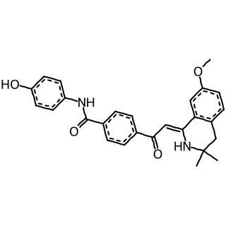 COc1ccc2c(c1)C(=CC(=O)c1ccc(C(=O)Nc3ccc(O)cc3)cc1)NC(C)(C)C2